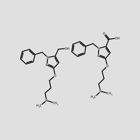 CN(C)CCCOc1cc(C(=O)O)n(Cc2ccccc2)n1.CN(C)CCCOc1cc(CO)n(Cc2ccccc2)n1